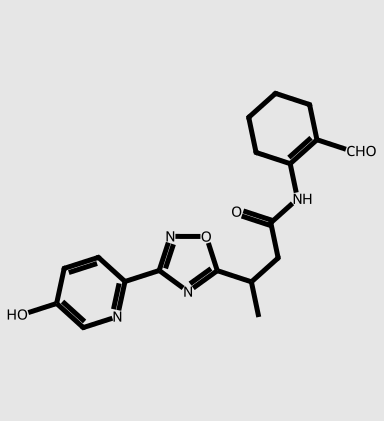 CC(CC(=O)NC1=C(C=O)CCCC1)c1nc(-c2ccc(O)cn2)no1